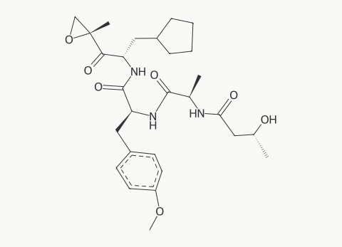 COc1ccc(C[C@H](NC(=O)[C@@H](C)NC(=O)C[C@@H](C)O)C(=O)N[C@@H](CC2CCCC2)C(=O)[C@@]2(C)CO2)cc1